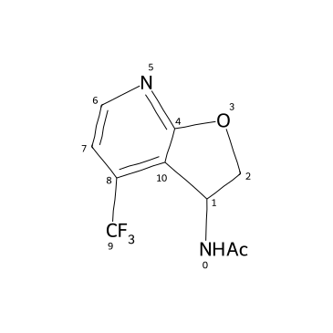 CC(=O)NC1COc2nccc(C(F)(F)F)c21